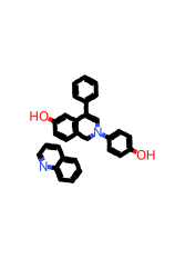 Oc1ccc(N2C=C(c3ccccc3)c3cc(O)ccc3C2)cc1.c1ccc2ncccc2c1